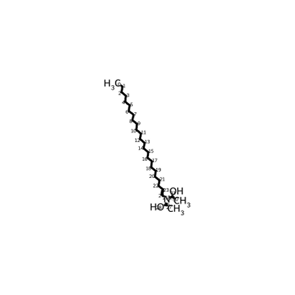 CCCCCCCCCCCCCCCCCCCCCCCC=CN(C(C)O)C(C)O